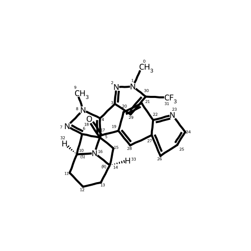 Cn1nc(-c2c3c(nn2C)[C@@H]2CCC[C@H](C3)N2C(=O)c2ccc3ncccc3c2)cc1C(F)(F)F